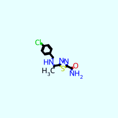 CC(NCc1ccc(Cl)cc1)c1nnc(C(N)=O)s1